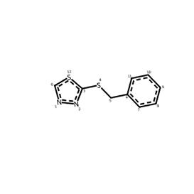 [c]1nnc(SCc2ccccc2)s1